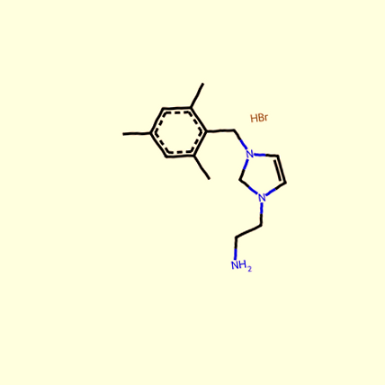 Br.Cc1cc(C)c(CN2C=CN(CCN)C2)c(C)c1